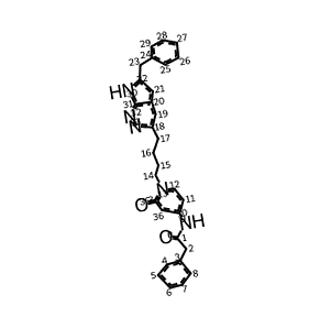 O=C(Cc1ccccc1)Nc1ccn(CCCCc2cc3cc(Cc4ccccc4)[nH]c3nn2)c(=O)c1